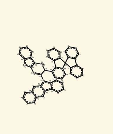 c1ccc2c(c1)-c1ccccc1C21c2ccccc2-c2c(C3Nc4c(oc5ccccc45)N=C3n3c4ccccc4c4cc5ccccc5cc43)cccc21